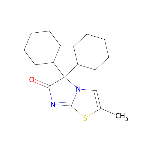 CC1=CN2C(=NC(=O)C2(C2CCCCC2)C2CCCCC2)S1